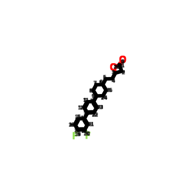 O=C1CC(CCC2CCC(c3ccc(-c4ccc(F)c(F)c4)cc3)CC2)O1